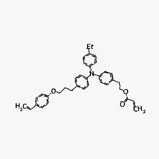 C=CC(=O)OCCc1ccc(N(c2ccc(CC)cc2)c2ccc(CCCOc3ccc(C=C)cc3)cc2)cc1